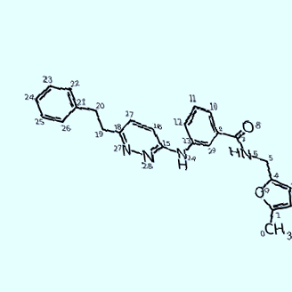 Cc1ccc(CNC(=O)c2cccc(Nc3ccc(CCc4ccccc4)nn3)c2)o1